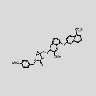 CCOC(=O)c1cccc2cc(Oc3ccnc4cc(OCC5(NC(=O)OCc6ccc(OC)cc6)CC5)c(OC)cc34)ccc12